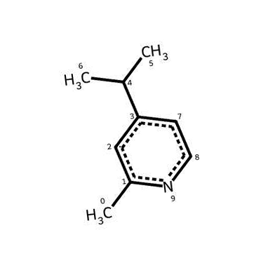 Cc1[c]c(C(C)C)ccn1